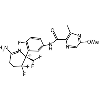 COc1cnc(C(=O)Nc2ccc(F)c([C@@]3(C(F)F)N=C(N)CCC3(F)F)c2)c(C)n1